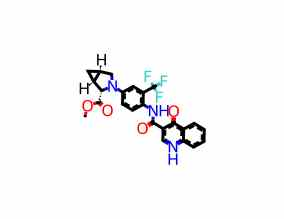 COC(=O)[C@@H]1[C@H]2C[C@H]2CN1c1ccc(NC(=O)c2c[nH]c3ccccc3c2=O)c(C(F)(F)F)c1